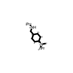 CCCN(C)C1CCC(CNC(C)C)CC1